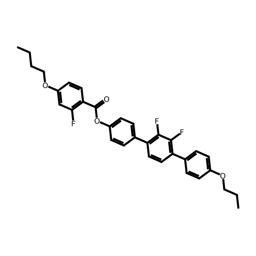 CCCCOc1ccc(C(=O)Oc2ccc(-c3ccc(-c4ccc(OCCC)cc4)c(F)c3F)cc2)c(F)c1